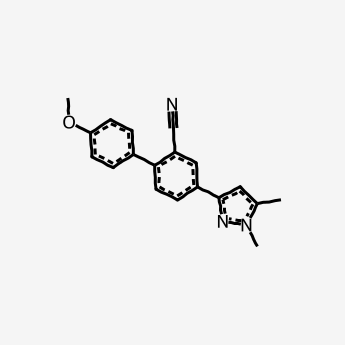 COc1ccc(-c2ccc(-c3cc(C)n(C)n3)cc2C#N)cc1